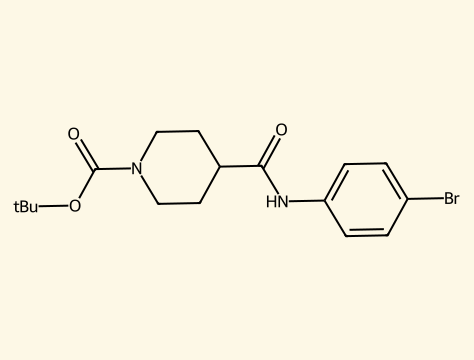 CC(C)(C)OC(=O)N1CCC(C(=O)Nc2ccc(Br)cc2)CC1